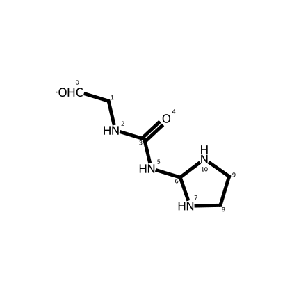 O=[C]CNC(=O)NC1NCCN1